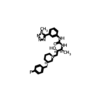 C[C@H](NC(=O)Nc1cccc(-c2nnnn2C)c1)[C@@H](O)CN1CCC[C@@H](Cc2ccc(F)cc2)C1